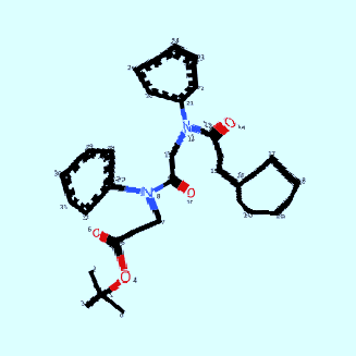 CC(C)(C)OC(=O)CN(C(=O)CN(C(=O)CC1CCCC1)c1ccccc1)c1ccccc1